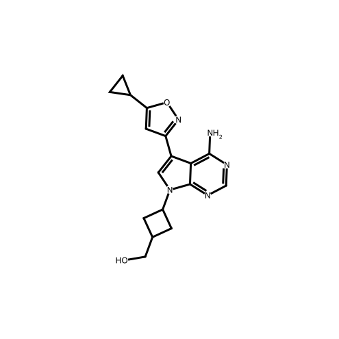 Nc1ncnc2c1c(-c1cc(C3CC3)on1)cn2C1CC(CO)C1